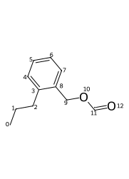 CCCc1ccccc1CO[C]=O